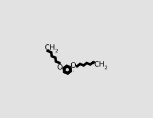 C=CCCCCCOc1[c]ccc(OCCCCCC=C)c1